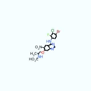 C[C@H](COc1cc2ncnc(Nc3ccc(Br)c(Cl)c3F)c2cc1[N+](=O)[O-])NC(=O)O